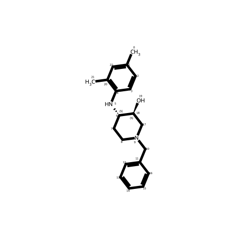 Cc1ccc(N[C@H]2CCN(Cc3ccccc3)C[C@@H]2O)c(C)c1